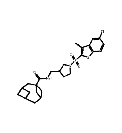 Cc1c(S(=O)(=O)N2CCC(CNC(=O)C34CC5CC(C5)CC(C3)C4)C2)sc2ccc(Cl)cc12